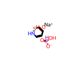 C1=CNSC=C1.O.O=[PH]([O-])O.[Na+]